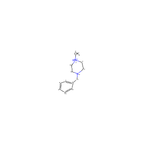 [CH2-][NH+]1CCN(Cc2ccccc2)CC1